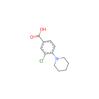 O=C(O)c1ccc(N2CCCCC2)c(Cl)c1